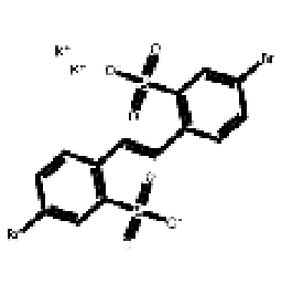 O=S(=O)([O-])c1cc(Br)ccc1C=Cc1ccc(Br)cc1S(=O)(=O)[O-].[K+].[K+]